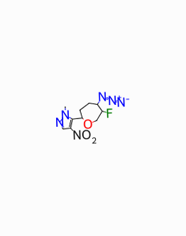 Cn1ncc([N+](=O)[O-])c1C1CCC(N=[N+]=[N-])C(F)CO1